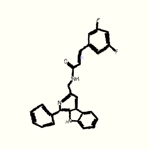 O=C(/C=C/c1cc(F)cc(F)c1)NCc1cc2c([nH]c3ccccc32)c(-c2ccccc2)n1